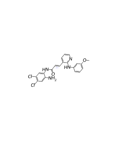 COc1cccc(Nc2ncccc2/C=C/C(=O)Nc2cc(Cl)c(Cl)cc2N)c1